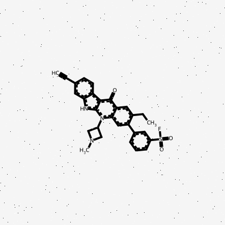 C#Cc1ccc2c(c1)[nH]c1c2c(=O)c2cc(CC)c(-c3cccc(S(=O)(=O)F)c3)cc2n1C1CN(C)C1